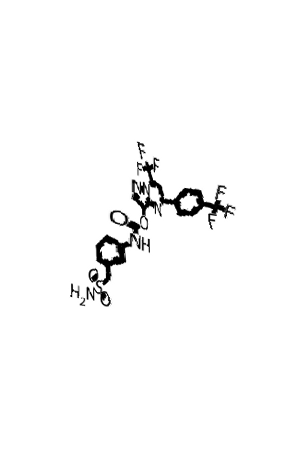 NS(=O)(=O)Cc1cccc(NC(=O)Oc2cnn3c(C(F)(F)F)cc(-c4ccc(C(F)(F)F)cc4)nc23)c1